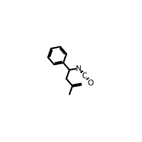 C=C(C)CC(N=C=O)c1ccccc1